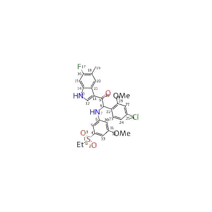 CCS(=O)(=O)c1cc(NC(C(=O)c2c[nH]c3cc(F)c(C)cc23)c2ccc(Cl)cc2OC)cc(OC)c1